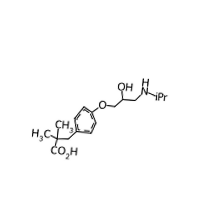 CC(C)NCC(O)COc1ccc(CC(C)(C)C(=O)O)cc1